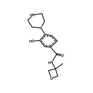 CC1(NC(=O)c2ccc(N3CCNCC3)c(O)c2)COC1